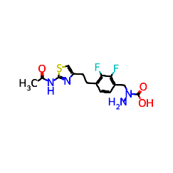 CC(=O)Nc1nc(CCc2ccc(CN(N)C(=O)O)c(F)c2F)cs1